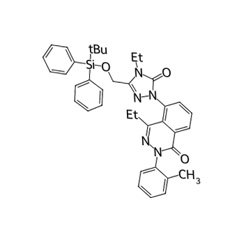 CCc1nn(-c2ccccc2C)c(=O)c2cccc(-n3nc(CO[Si](c4ccccc4)(c4ccccc4)C(C)(C)C)n(CC)c3=O)c12